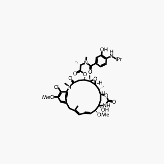 COc1cc2cc(c1Cl)N(C)C(=O)C[C@H](OC(=O)[C@H](C)N(C)C(=O)c1ccc(NC(C)C)c(O)c1)[C@]1(C)O[C@H]1[C@H](C)[C@@H]1C[C@@](O)(NC(=O)O1)[C@H](OC)/C=C/C=C(\C)C2